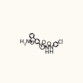 C[C@]1(NC(=O)Nc2ccc(Cl)cc2)CCCN(c2ccc(-c3ccccc3C(N)=O)cc2)C1=O